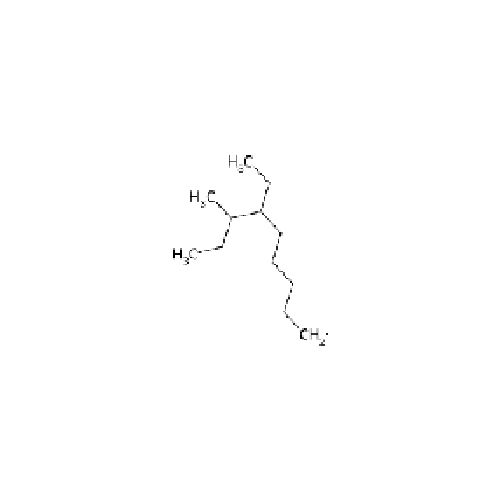 [CH2]CCCCC(CC)C(C)CC